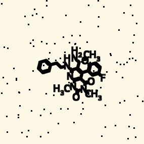 COc1ccc(F)cc1-c1c(CN)c(NCCc2ccccc2)nc2c1c(=O)n(C)c(=O)n2C